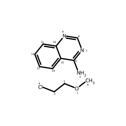 COCCCl.Nc1ncnc2ccccc12